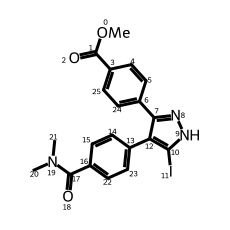 COC(=O)c1ccc(-c2n[nH]c(I)c2-c2ccc(C(=O)N(C)C)cc2)cc1